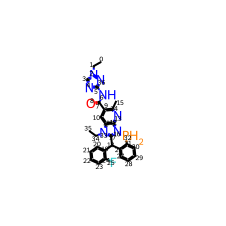 CCn1cnc(NC(=O)c2cc3c(nc2C)nc(C(c2ccccc2F)c2ccccc2P)n3CC)n1